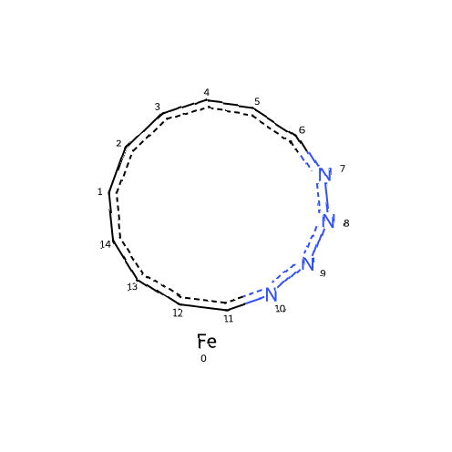 [Fe].c1cccccnnnncccc1